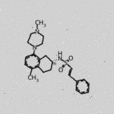 Cc1ccc(N2CCN(C)CC2)c2c1CC[C@@H](NS(=O)(=O)C=Cc1ccccc1)C2